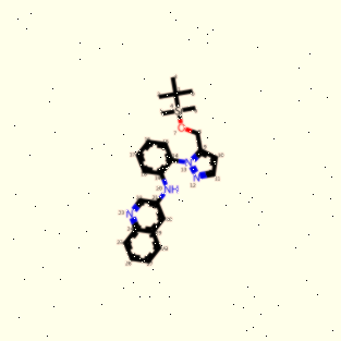 CC(C)(C)[Si](C)(C)OCc1ccnn1-c1ccccc1Nc1cnc2ccccc2c1